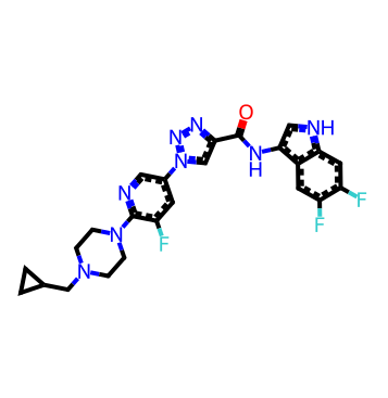 O=C(Nc1c[nH]c2cc(F)c(F)cc12)c1cn(-c2cnc(N3CCN(CC4CC4)CC3)c(F)c2)nn1